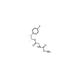 C[C@H](c1ccc(F)cc1)[C@@H](C)OC(=O)CNC(=O)OC(C)(C)C